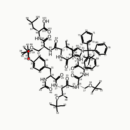 CC[C@H](C)[C@H](NC(=O)[C@H](CC(C)C)NC(=O)[C@H](COC(C)(C)C)NC(=O)[C@@H](NC(=O)[C@H](Cc1ccc(OC(C)(C)C)cc1)NC(C)=O)[C@@H](C)OC(C)(C)C)C(=O)N[C@@H](Cc1cn(C(c2ccccc2)(c2ccccc2)c2ccccc2)cn1)C(=O)N[C@@H](COC(C)(C)C)C(=O)N[C@@H](CC(C)C)C(=O)O